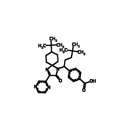 CC(C)(C)CCC(c1ccc(C(=O)O)cc1)N1C(=O)C(c2cnccn2)=NC12CCC(C(C)(C)C)CC2